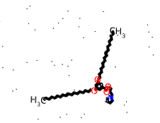 CCCCCCCCC=CCCCCCCCCOc1cc(OCCCCCCCCC=CCCCCCCCC)cc(C2OCC(CN3CCCC3)O2)c1